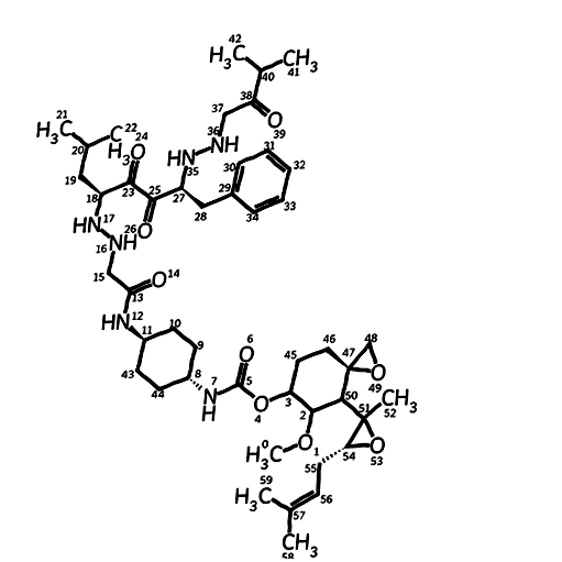 COC1C(OC(=O)N[C@H]2CC[C@H](NC(=O)CNN[C@@H](CC(C)C)C(=O)C(=O)[C@H](Cc3ccccc3)NNCC(=O)C(C)C)CC2)CC[C@]2(CO2)C1C1(C)O[C@@H]1CC=C(C)C